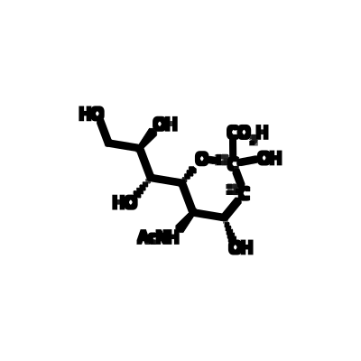 CC(=O)N[C@H]1[C@H]([C@H](O)[C@H](O)CO)O[13C](O)([13C](=O)O)[13CH2][C@@H]1O